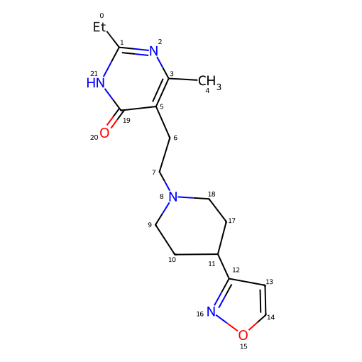 CCc1nc(C)c(CCN2CCC(c3ccon3)CC2)c(=O)[nH]1